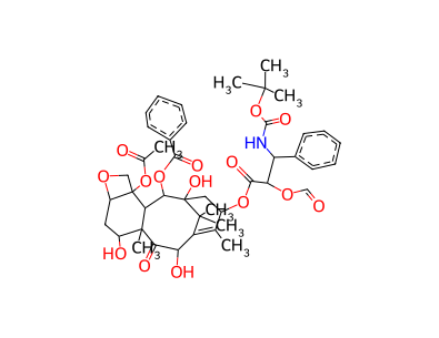 CC(=O)OC12COC1CC(O)C1(C)C(=O)C(O)C3=C(C)C(OC(=O)C(OC=O)C(NC(=O)OC(C)(C)C)c4ccccc4)CC(O)(C(OC(=O)c4ccccc4)C21)C3(C)C